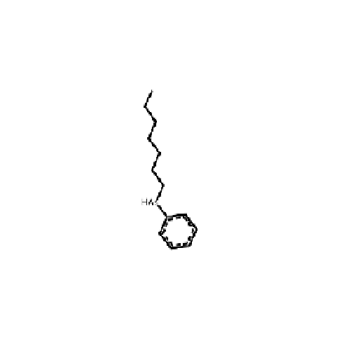 CCCCCCC[AsH]c1ccccc1